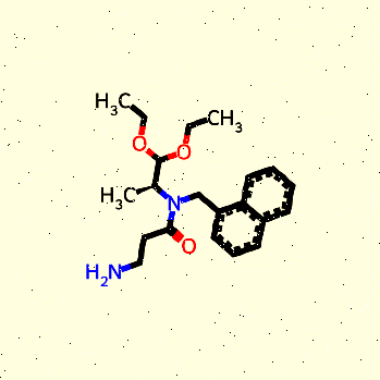 CCOC(OCC)[C@H](C)N(Cc1cccc2ccccc12)C(=O)CCN